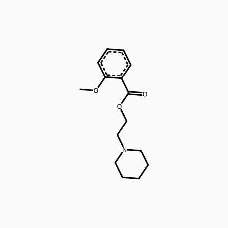 COc1ccccc1C(=O)OCCN1CCCCC1